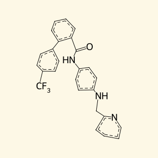 O=C(Nc1ccc(NCc2ccccn2)cc1)c1ccccc1-c1ccc(C(F)(F)F)cc1